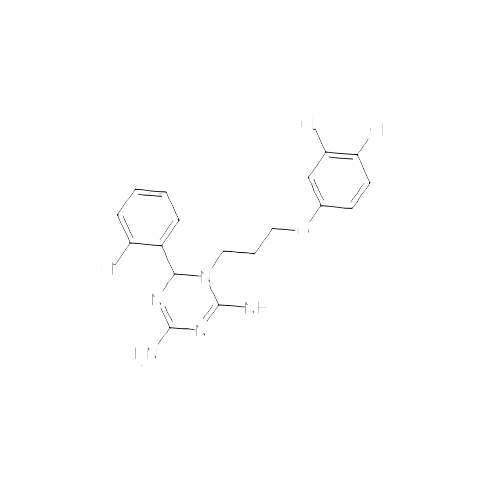 NC1=NC(c2ccccc2Cl)N(CCCOc2ccc(Cl)c(Cl)c2)C(N)=N1